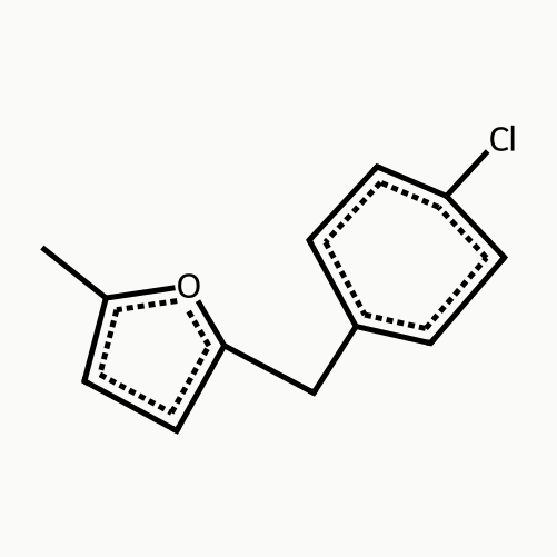 Cc1ccc(Cc2ccc(Cl)cc2)o1